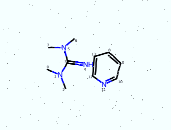 CN(C)C(=N)N(C)C.c1ccncc1